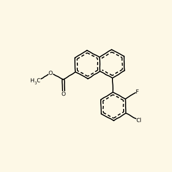 COC(=O)c1ccc2cccc(-c3cccc(Cl)c3F)c2c1